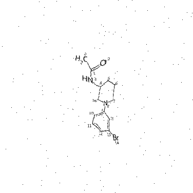 CC(=O)NC1CCCN(c2cccc(Br)c2)C1